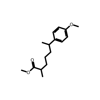 COC(=O)C(C)CCCC(C)c1ccc(OC)cc1